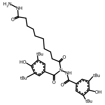 CC(C)(C)c1cc(C(=O)NN(C(=O)CCCCCCCCC(=O)NN)C(=O)c2cc(C(C)(C)C)c(O)c(C(C)(C)C)c2)cc(C(C)(C)C)c1O